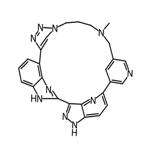 CN1CCCn2cc(nn2)-c2cccc3[nH]c(nc23)-c2n[nH]c3ccc(nc23)-c2cncc(c2)C1